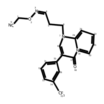 N#CCO/N=C\CCn1cc(-c2cccc(C(F)(F)F)c2)c(=O)[n+]2ccccc12